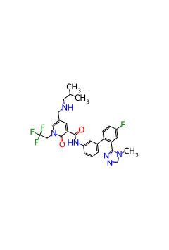 CC(C)CNCc1cc(C(=O)Nc2cccc(-c3ccc(F)cc3-c3nncn3C)c2)c(=O)n(CC(F)(F)F)c1